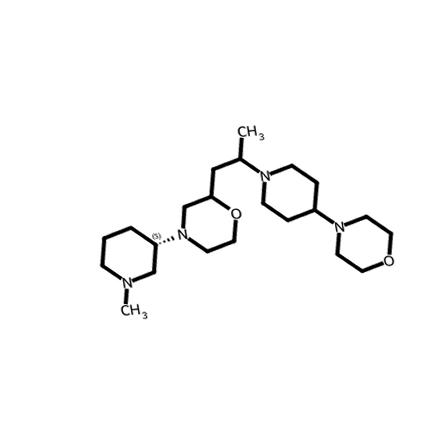 CC(CC1CN([C@H]2CCCN(C)C2)CCO1)N1CCC(N2CCOCC2)CC1